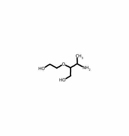 CC(N)C(CO)OCCO